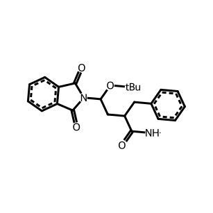 CC(C)(C)OC(CC(Cc1ccccc1)C([NH])=O)N1C(=O)c2ccccc2C1=O